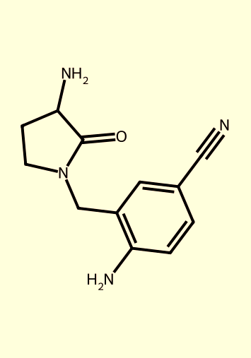 N#Cc1ccc(N)c(CN2CCC(N)C2=O)c1